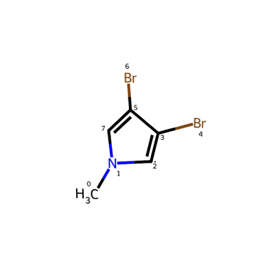 Cn1[c]c(Br)c(Br)c1